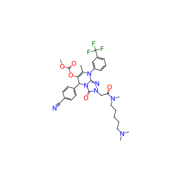 COC(=O)OC1=C(C)N(c2cccc(C(F)(F)F)c2)c2nn(CC(=O)N(C)CCCCCN(C)C)c(=O)n2C1c1ccc(C#N)cc1